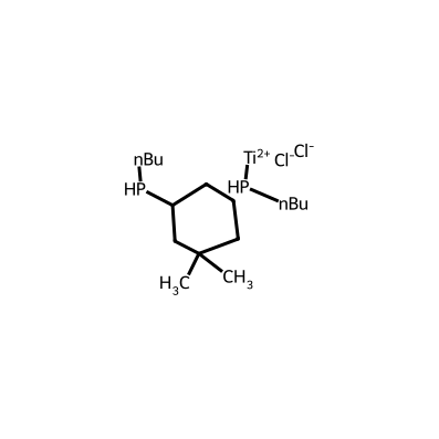 CCCCPC1CCCC(C)(C)C1.CCCC[PH][Ti+2].[Cl-].[Cl-]